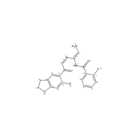 C=C(/C=N\C(=C/N)NC(=O)c1ccccc1F)c1cc2c(cc1Cl)OCC2